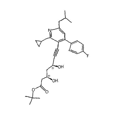 CC(C)Cc1cc(-c2ccc(F)cc2)c(C#C[C@@H](O)C[C@@H](O)CC(=O)OC(C)(C)C)c(C2CC2)n1